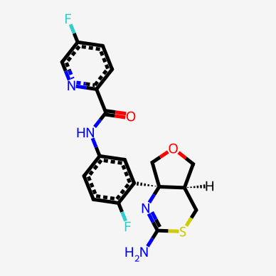 NC1=N[C@@]2(c3cc(NC(=O)c4ccc(F)cn4)ccc3F)COC[C@H]2CS1